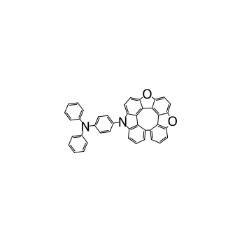 c1ccc(N(c2ccccc2)c2ccc(-n3c4cccc5c6cccc7oc8ccc9oc%10ccc3c(c%10c9c8c76)c54)cc2)cc1